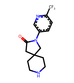 O=C1CC2(CCNCC2)CN1c1ccc(C(F)(F)F)nc1